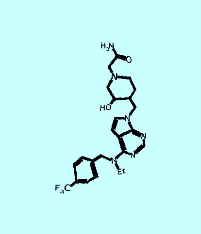 CCN(Cc1ccc(C(F)(F)F)cc1)c1ncnc2c1ccn2CC1CCN(CC(N)=O)CC1O